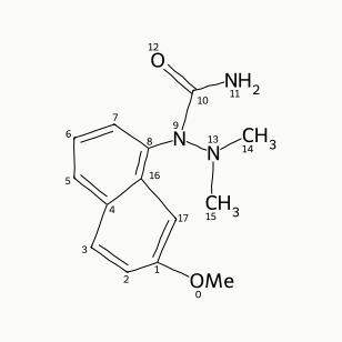 COc1ccc2cccc(N(C(N)=O)N(C)C)c2c1